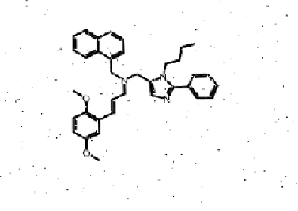 CCCCn1c(CN(CC=Cc2cc(OC)ccc2OC)Cc2cccc3ccccc23)cnc1-c1ccccc1